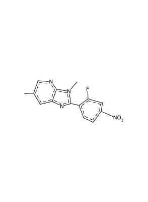 Cc1cnc2c(c1)nc(-c1ccc([N+](=O)[O-])cc1F)n2C